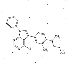 Cc1cc(-c2cn(-c3ccccc3)c3ncnc(Cl)c23)cnc1N(C)CCO